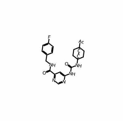 CC(=O)C12CCC(NC(=O)Nc3cc(C(=O)NCc4ccc(F)cc4)ncn3)(CC1)CC2